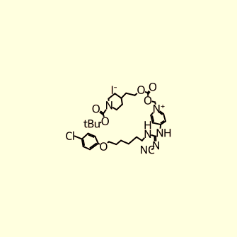 CC(C)(C)OC(=O)N1CCC(CCOC(=O)OC[n+]2ccc(NC(=NC#N)NCCCCCCOc3ccc(Cl)cc3)cc2)CC1.[I-]